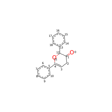 O=C1CC=C(c2ccccc2)OC1c1ccccc1